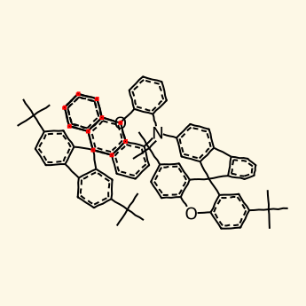 CC(C)(C)c1ccc2c(c1)C1(c3cc(C(C)(C)C)ccc3O2)c2ccccc2-c2ccc(N(c3ccccc3-c3cccc4ccccc34)c3cccc4c3Oc3ccccc3C43c4cc(C(C)(C)C)ccc4-c4ccc(C(C)(C)C)cc43)cc21